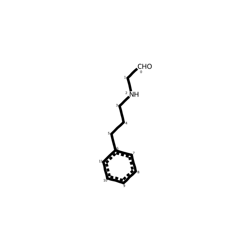 O=CCNCCCc1ccccc1